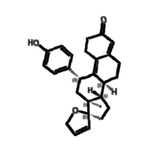 C[C@]12C[C@H](c3ccc(O)cc3)C3=C4CCC(=O)C=C4CC[C@H]3[C@@H]1CC[C@@]21C=CCO1